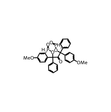 COc1ccc(C(O[PH2]=O)(C(=O)C(O[PH2]=O)(c2ccccc2)c2ccc(OC)cc2)c2ccccc2)cc1